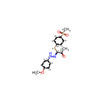 COc1ccc(NN=C(Sc2ccc(S(C)(=O)=O)cc2)C(C)=O)cc1